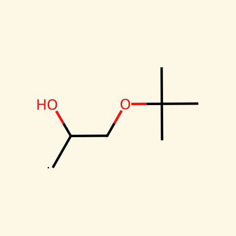 [CH2]C(O)COC(C)(C)C